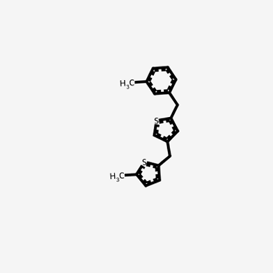 Cc1cccc(Cc2cc(Cc3ccc(C)s3)cs2)c1